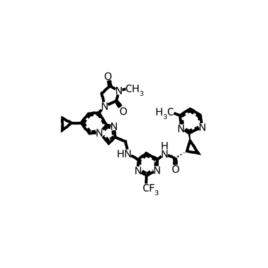 Cc1ccnc([C@H]2C[C@@H]2C(=O)Nc2cc(NCc3cn4cc(C5CC5)cc(N5CC(=O)N(C)C5=O)c4n3)nc(C(F)(F)F)n2)n1